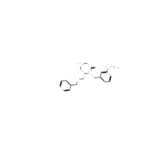 COc1cccc(CN2C(=O)CNC[C@@H]2COCc2ccccc2)c1